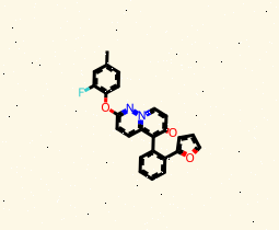 Cc1ccc(Oc2ccc3c(-c4ccccc4-c4ccco4)c(=O)ccn3n2)c(F)c1